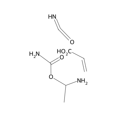 C=CC(=O)O.CC(N)OC(N)=O.N=C=O